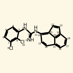 N=C(Nc1cccc(Cl)c1Cl)Nc1ccc2cccc3c2c1C=C3